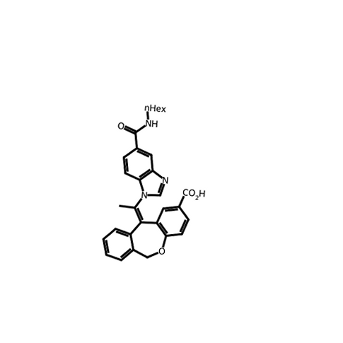 CCCCCCNC(=O)c1ccc2c(c1)ncn2/C(C)=C1/c2ccccc2COc2ccc(C(=O)O)cc21